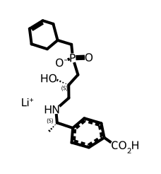 C[C@H](NC[C@H](O)CP(=O)([O-])CC1CC=CCC1)c1ccc(C(=O)O)cc1.[Li+]